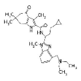 CCN(CC)Cc1cccc2c1nc(C(CCC1CC1)NC(=O)c1[nH]c3c(c1C)C(=O)CC(C)(C)C3)n2C